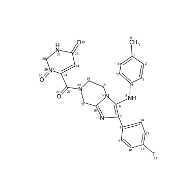 Cc1ccc(Nc2c(-c3ccc(F)cc3)nc3n2CCN(C(=O)C2=CC(=O)NC[N+]2=O)C3)cc1